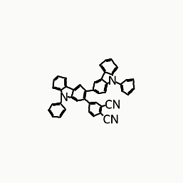 N#Cc1ccc(-c2cc3c(cc2-c2ccc4c(c2)c2ccccc2n4-c2ccccc2)c2ccccc2n3-c2ccccc2)cc1C#N